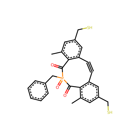 Cc1cc(CS)cc2c1C(=O)P(=O)(Cc1ccccc1)C(=O)c1c(C)cc(CS)cc1C#C2